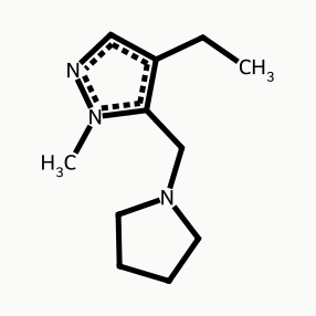 CCc1cnn(C)c1CN1CCCC1